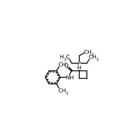 CC[PH](CC)(CC)C1(C(=O)Nc2c(C)cccc2C)CCC1